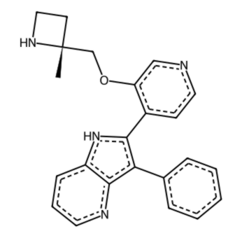 C[C@]1(COc2cnccc2-c2[nH]c3cccnc3c2-c2ccccc2)CCN1